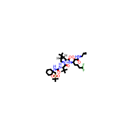 C=CCNC(=O)C(=O)C(CCCC(F)F)NC(=O)[C@@H]1[C@@H]2[C@H](CN1C(=O)[C@@H](NC(=O)NC1(CS(=O)(=O)C(C)(C)C)CCCCC1)C(C)(C)C)C2(C)C